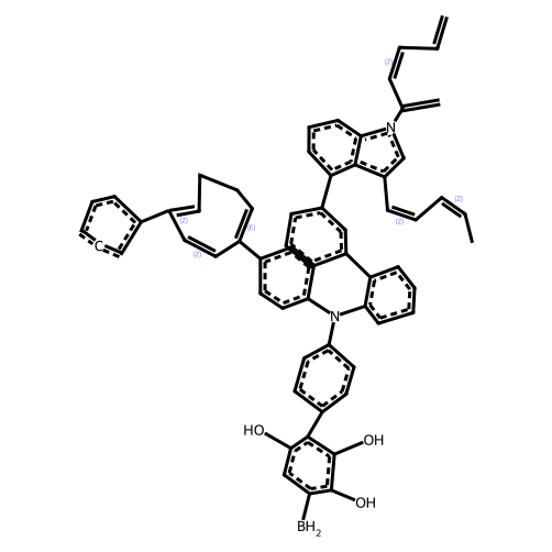 Bc1cc(O)c(-c2ccc(N(c3ccc(C4=C/CC/C=C(c5ccccc5)/C=C\4)cc3)c3ccccc3-c3cccc(-c4cccc5c4c(/C=C\C=C/C)cn5C(=C)/C=C\C=C)c3)cc2)c(O)c1O